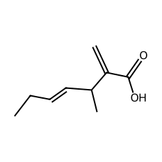 C=C(C(=O)O)C(C)C=CCC